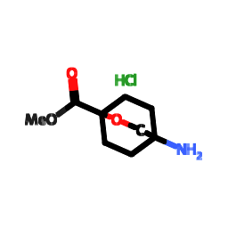 COC(=O)C12CCC(N)(CC1)CO2.Cl